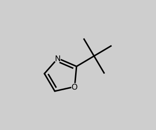 CC(C)(C)c1ncco1